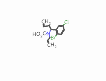 C=CCC(c1cc(Cl)ccc1Br)N(CC=C)C(=O)O